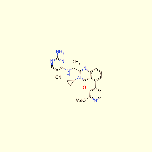 COc1cc(-c2cccc3nc(C(C)Nc4nc(N)ncc4C#N)n(C4CC4)c(=O)c23)ccn1